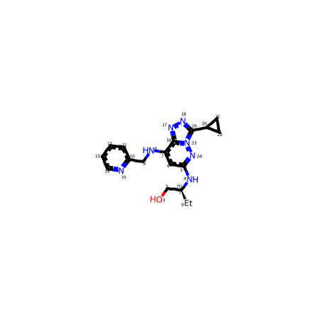 CC[C@@H](CO)Nc1cc(NCc2ccccn2)c2nnc(C3CC3)n2n1